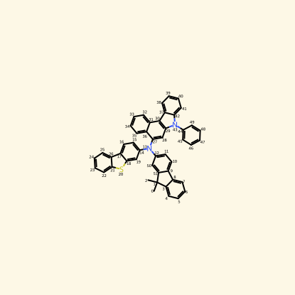 CC1(C)c2ccccc2-c2ccc(N(c3ccc4c(c3)sc3ccccc34)c3cc4c(c5ccccc35)c3ccccc3n4-c3ccccc3)cc21